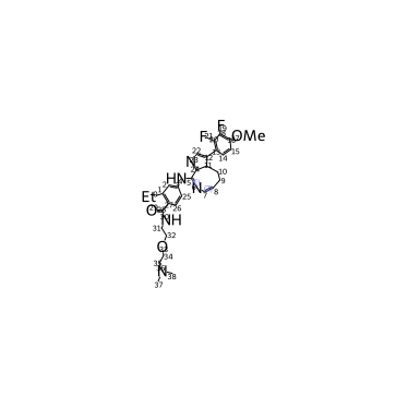 CCc1cc(N/C2=N/C=C\CCC3C(c4ccc(OC)c(F)c4F)=CN=C23)ccc1C(=O)NCCOCCN(C)C